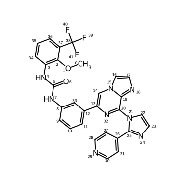 COc1c(NC(=O)Nc2cccc(-c3cn4ccnc4c(-n4ccnc4-c4ccncc4)n3)c2)cccc1C(F)(F)F